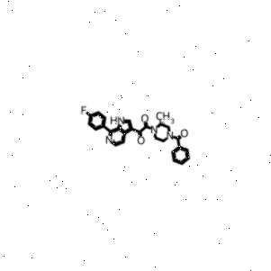 C[C@@H]1CN(C(=O)c2ccccc2)CCN1C(=O)C(=O)c1c[nH]c2c(-c3ccc(F)cc3)nccc12